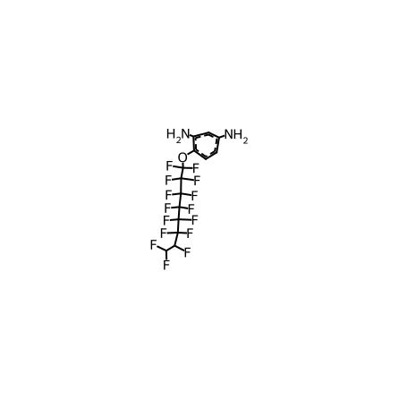 Nc1ccc(OC(F)(F)C(F)(F)C(F)(F)C(F)(F)C(F)(F)C(F)(F)C(F)C(F)F)c(N)c1